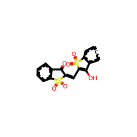 O=C1C(=CC2=C(O)c3ccccc3S2(=O)=O)S(=O)(=O)c2ccccc21